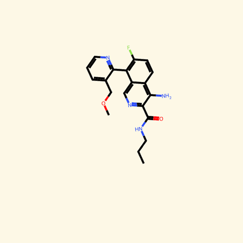 CCCNC(=O)c1ncc2c(-c3ncccc3COC)c(F)ccc2c1N